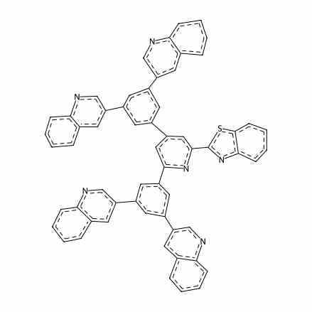 c1ccc2ncc(-c3cc(-c4cc(-c5cc(-c6cnc7ccccc7c6)cc(-c6cnc7ccccc7c6)c5)nc(-c5nc6ccccc6s5)c4)cc(-c4cnc5ccccc5c4)c3)cc2c1